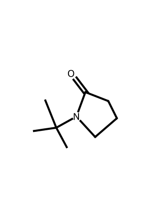 CC(C)(C)N1CCCC1=O